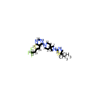 CC1(C)CN=C(N2CC3(CCN(c4ncnc5sc(CC(F)(F)F)cc45)CC3)C2)S1